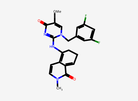 COc1cn(Cc2cc(F)cc(F)c2)c(NC2=c3ccn(C)c(=O)c3=CCC2)nc1=O